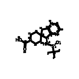 CC(C)(C)[S@@+]([O-])N[C@@H]1c2nccnc2CC12CCN(C(=O)O)CC2